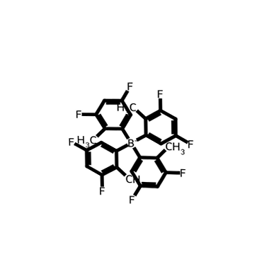 Cc1c(F)cc(F)cc1[B-](c1cc(F)cc(F)c1C)(c1cc(F)cc(F)c1C)c1cc(F)cc(F)c1C